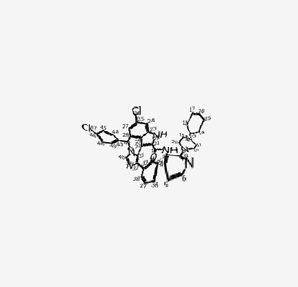 O=C(Nc1cccnc1N1CCN(C2CCCCC2)CC1)c1[nH]c2cc(Cl)cc3c2c1-c1c(-c2ccccc2)ncn1C3c1ccc(Cl)cc1